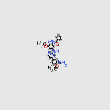 COc1cc(NC(=O)C2CCCC2)cc(Nc2nccc(-c3ccc(OC)c(N)c3)n2)c1